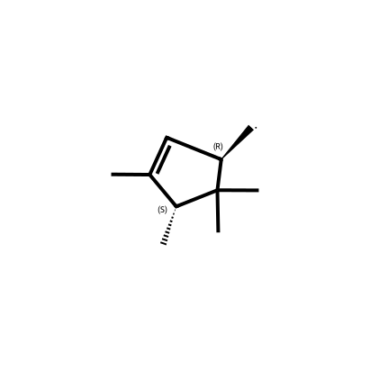 [CH2][C@@H]1C=C(C)[C@@H](C)C1(C)C